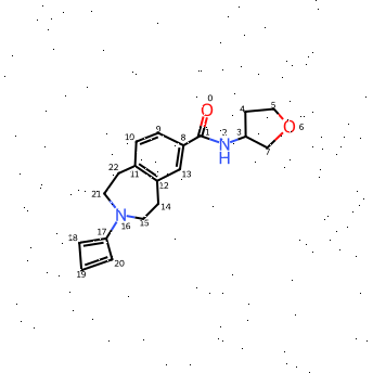 O=C(NC1CCOC1)c1ccc2c(c1)CCN(C1=CC=C1)CC2